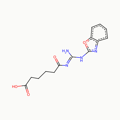 N/C(=N\C(=O)CCCCC(=O)O)Nc1nc2ccccc2o1